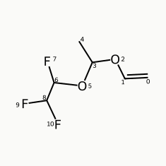 C=COC(C)OC(F)C(F)F